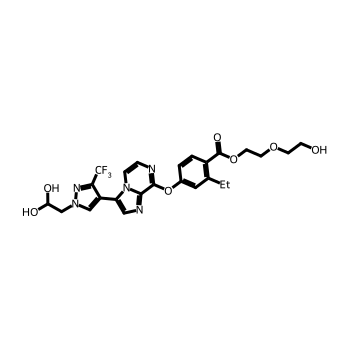 CCc1cc(Oc2nccn3c(-c4cn(CC(O)O)nc4C(F)(F)F)cnc23)ccc1C(=O)OCCOCCO